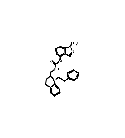 O=C(NCC1CCc2ccccc2N1CCc1ccccc1)Nc1cccc2c1cnn2C(=O)O